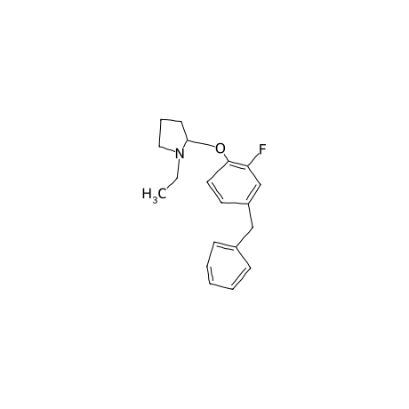 CCN1CCCC1Oc1ccc(Cc2ccccc2)cc1F